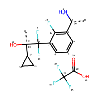 C[C@@H](N)c1cccc(C(F)(F)[C@](C)(O)C2CC2)c1F.O=C(O)C(F)(F)F